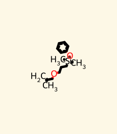 C=C(C)COCCC[Si](C)(C)Oc1ccccc1